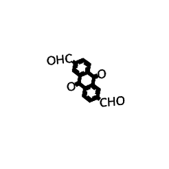 O=Cc1ccc2c(c1)C(=O)c1ccc(C=O)cc1C2=O